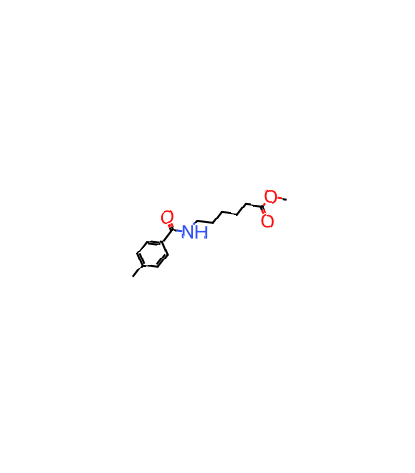 COC(=O)CCCCCNC(=O)c1ccc(C)cc1